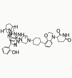 Nc1nnc(-c2ccccc2O)cc1N1C[C@H]2CC[C@@H](C1)N2c1nccc(N2CCN(C3CCC(c4cccc5c4OCCN5C4CCC(=O)NC4=O)CC3)CC2)n1